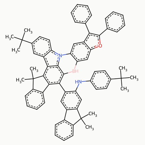 CC(C)(C)c1ccc(Nc2cc3c(cc2-c2c4c(c5c6cc(C(C)(C)C)ccc6n6c5c2Bc2cc5oc(-c7ccccc7)c(-c7ccccc7)c5cc2-6)C(C)(C)c2ccccc2-4)-c2ccccc2C3(C)C)cc1